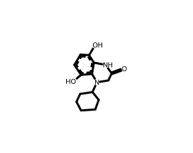 O=C1CN(C2CCCCC2)c2c(O)ccc(O)c2N1